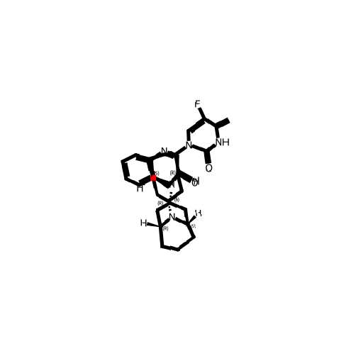 C=C1NC(=O)N(c2nc3ccccc3n([C@H]3C[C@H]4CCC[C@@H](C3)N4[C@H]3C[C@@H]4CCC[C@@H](C4)C3)c2=O)C=C1F